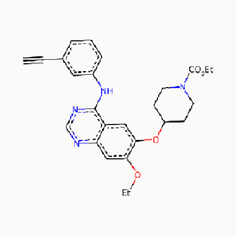 C#Cc1cccc(Nc2ncnc3cc(OCC)c(OC4CCN(C(=O)OCC)CC4)cc23)c1